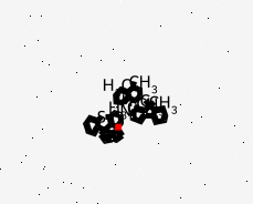 CC1(C)CCC(C)(C)c2c(N(c3ccc4c(c3)Sc3ccccc3C43C4CC5CC(C4)C3C5)c3ccc4c(c3)C(C)(C)c3ccccc3-4)cccc21